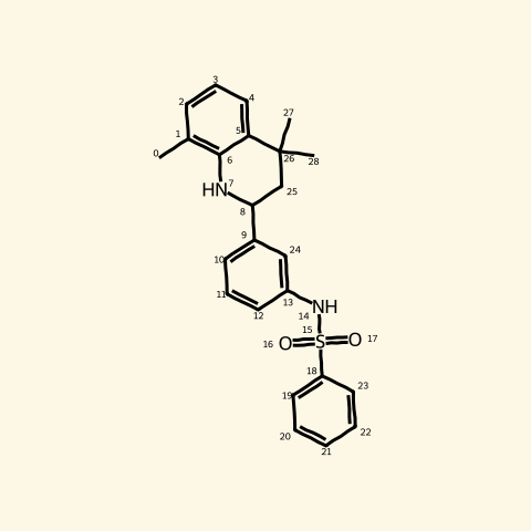 Cc1cccc2c1NC(c1cccc(NS(=O)(=O)c3ccccc3)c1)CC2(C)C